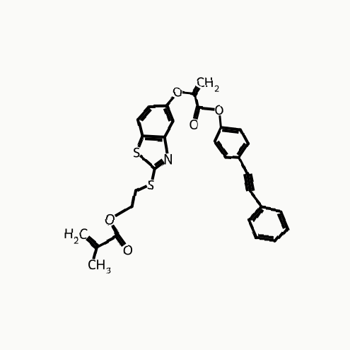 C=C(C)C(=O)OCCSc1nc2cc(OC(=C)C(=O)Oc3ccc(C#Cc4ccccc4)cc3)ccc2s1